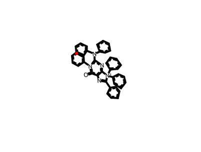 O=c1c2c(nc(N(c3ccccc3)c3ccccc3)n1-c1ccccc1)[N+](c1ccccc1)(c1ccccc1)C(c1ccccc1)=N2